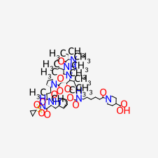 CC[C@H](C)[C@@H]([C@@H](CC(=O)N1CCC[C@H]1[C@H](OC)[C@@H](C)C(=O)N[C@@H](Cc1ccc(OC(=O)NCCCCCC(=O)N2CCC(C(=O)O)CC2)cc1)C(=O)NS(=O)(=O)C1CC1)OC)N(C)C(=O)[C@@H](NC(=O)[C@H](C(C)C)N(C)C)C(C)C